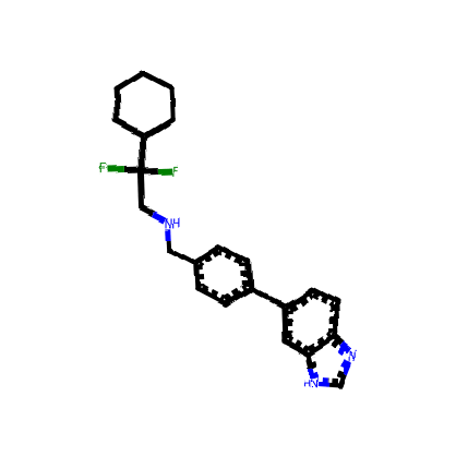 FC(F)(CNCc1ccc(-c2ccc3nc[nH]c3c2)cc1)C1CCCCC1